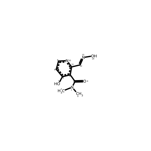 CN(C)C(=O)c1c(O)ccnc1C=NO